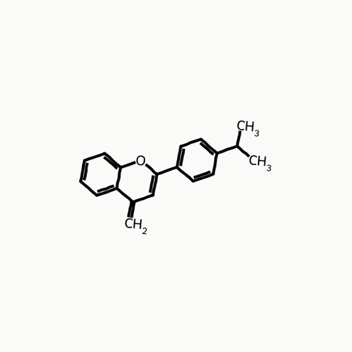 C=C1C=C(c2ccc(C(C)C)cc2)Oc2ccccc21